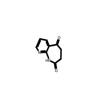 O=C1CCC(=O)c2cccnc2N1